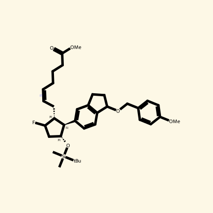 COC(=O)CCC/C=C\C[C@H]1C(F)C[C@@H](O[Si](C)(C)C(C)(C)C)[C@@H]1c1ccc2c(c1)CCC2OCc1ccc(OC)cc1